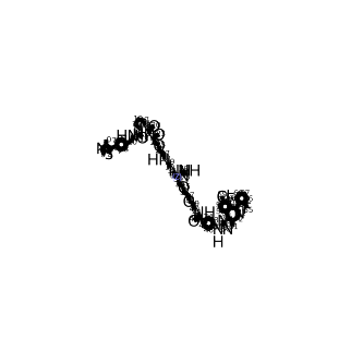 Cc1ncsc1-c1ccc(CNC(=O)[C@@H]2CCCN2C(=O)NC(=O)COCCNCCN/C=C(/COCCOCCNC(=O)c2ccc(Nc3ncc4c(n3)-c3ccc(Cl)cc3C(c3c(F)cccc3F)=NC4)cc2)N=N)cc1